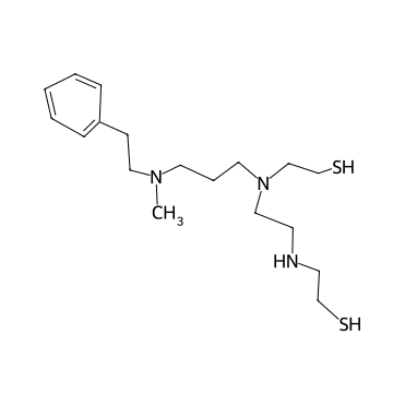 CN(CCCN(CCS)CCNCCS)CCc1ccccc1